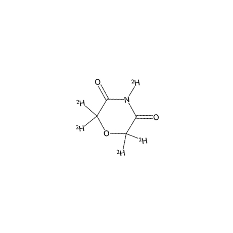 [2H]N1C(=O)C([2H])([2H])OC([2H])([2H])C1=O